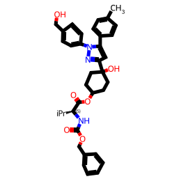 Cc1ccc(-c2cc(C3(O)CCC(OC(=O)[C@@H](NC(=O)OCc4ccccc4)C(C)C)CC3)nn2-c2ccc(CO)cc2)cc1